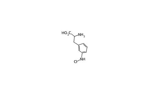 NC(Cc1cccc(NCl)c1)C(=O)O